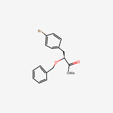 COC(=O)[C@H](Cc1ccc(Br)cc1)OCc1ccccc1